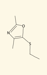 CCSc1oc(C)nc1C